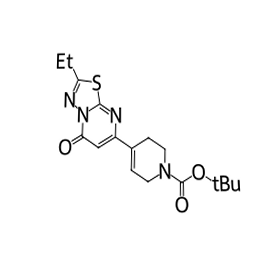 CCc1nn2c(=O)cc(C3=CCN(C(=O)OC(C)(C)C)CC3)nc2s1